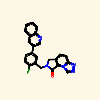 O=C1c2c(ccc3nncn23)CN1Cc1cc(-c2cnc3ccccc3c2)ccc1F